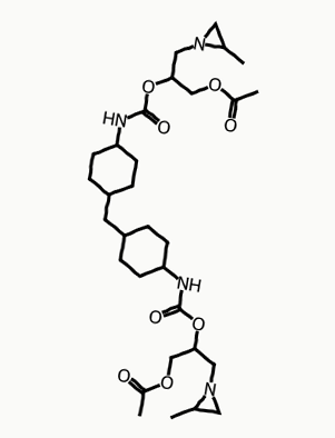 CC(=O)OCC(CN1CC1C)OC(=O)NC1CCC(CC2CCC(NC(=O)OC(COC(C)=O)CN3CC3C)CC2)CC1